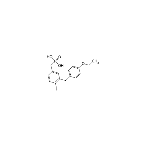 CCOc1ccc(Cc2cc(CP(=O)(O)O)ccc2F)cc1